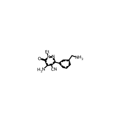 CCn1nc(-c2cccc(CN)c2)c(C#N)c(N)c1=O